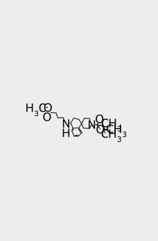 COC(=O)CCCNC1CCC2(CCN(C(=O)OC(C)(C)C)CC2)c2ccccc21